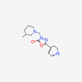 CC1CCCN(Cn2nc(C3=CC=NCC3)oc2=O)C1